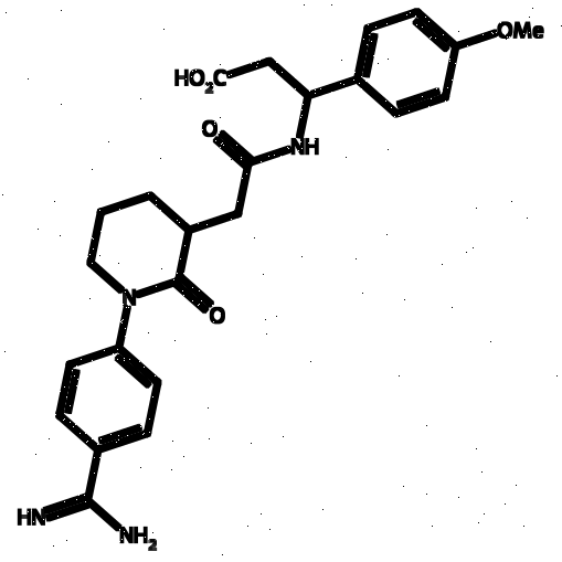 COc1ccc(C(CC(=O)O)NC(=O)CC2CCCN(c3ccc(C(=N)N)cc3)C2=O)cc1